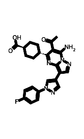 CC(=O)c1c(N)n2ncc(-c3cnn(-c4ccc(F)cc4)c3)c2nc1[C@H]1CC[C@H](C(=O)O)CC1